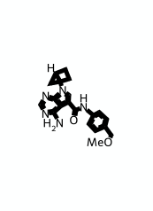 COCc1ccc(NC(=O)c2cn(C34CC[C@@H]3C4)c3ncnc(N)c23)cc1